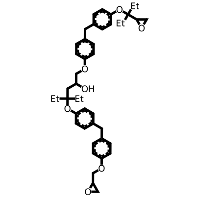 CCC(CC)(CC(O)COc1ccc(Cc2ccc(OC(CC)(CC)C3CO3)cc2)cc1)Oc1ccc(Cc2ccc(OCC3CO3)cc2)cc1